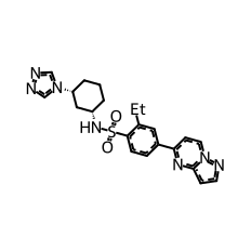 CCc1cc(-c2ccn3nccc3n2)ccc1S(=O)(=O)N[C@H]1CCC[C@@H](n2cnnc2)C1